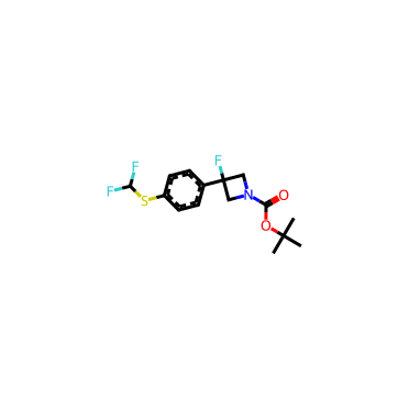 CC(C)(C)OC(=O)N1CC(F)(c2ccc(SC(F)F)cc2)C1